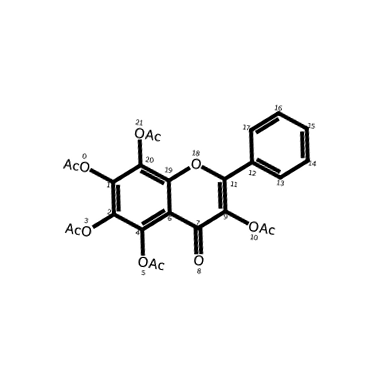 CC(=O)Oc1c(OC(C)=O)c(OC(C)=O)c2c(=O)c(OC(C)=O)c(-c3ccccc3)oc2c1OC(C)=O